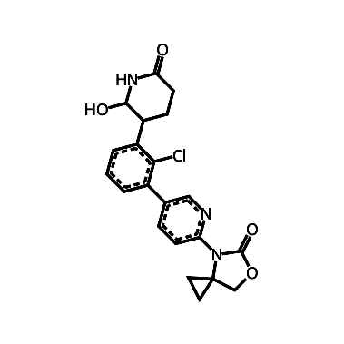 O=C1CCC(c2cccc(-c3ccc(N4C(=O)OCC45CC5)nc3)c2Cl)C(O)N1